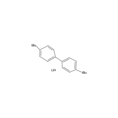 CC(C)(C)c1ccc(-c2ccc(C(C)(C)C)cc2)cc1.[LiH]